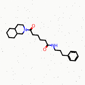 O=C(CCCCC(=O)N1CCC2CCCCC2C1)NCCCc1ccccc1